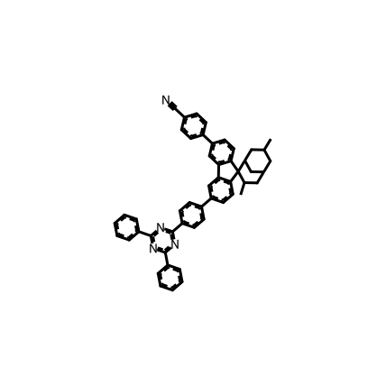 CC1CC2CC(C)C3(c4ccc(-c5ccc(C#N)cc5)cc4-c4cc(-c5ccc(-c6nc(-c7ccccc7)nc(-c7ccccc7)n6)cc5)ccc43)C(C1)C2